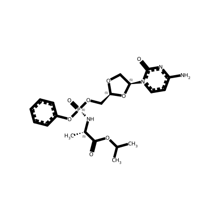 CC(C)OC(=O)[C@H](C)N[P@](=O)(OC[C@H]1OC[C@@H](n2ccc(N)nc2=O)O1)Oc1ccccc1